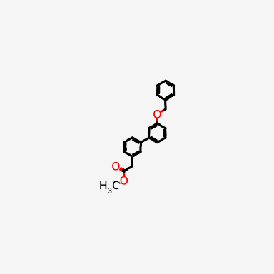 COC(=O)Cc1cccc(-c2cccc(OCc3ccccc3)c2)c1